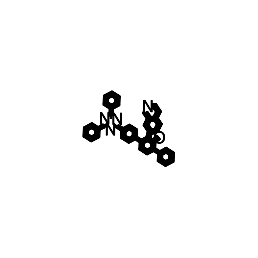 c1ccc(-c2nc(-c3ccccc3)nc(-c3ccc(-c4ccc(-c5ccccc5)c5oc6cc7ccncc7cc6c45)cc3)n2)cc1